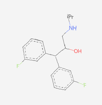 CC(C)NCC(O)C(c1cccc(F)c1)c1cccc(F)c1